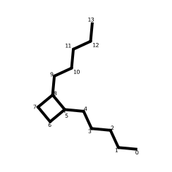 CCCCC[C]1CCC1CCCCC